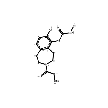 CCNC(=O)Sc1c(Cl)ccc2c1CCN(C(=O)OC(C)(C)C)CC2